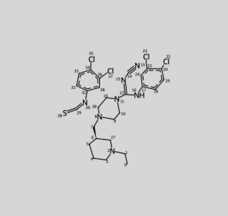 CCN1CCC[C@@H](CN2CCN(/C(=N/C#N)Nc3ccc(Cl)c(Cl)c3)CC2)C1.S=C=Nc1ccc(Cl)c(Cl)c1